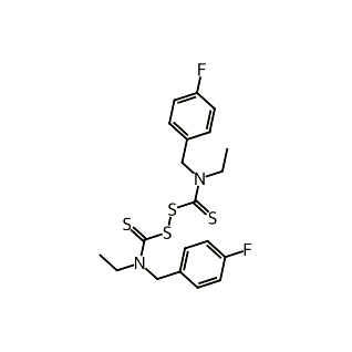 CCN(Cc1ccc(F)cc1)C(=S)SSC(=S)N(CC)Cc1ccc(F)cc1